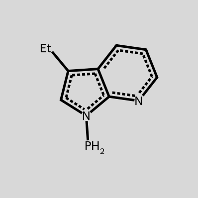 CCc1cn(P)c2ncccc12